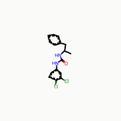 CC(Cc1ccccc1)NC(=O)Nc1ccc(Cl)c(Cl)c1